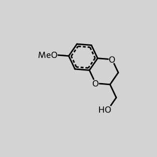 COc1ccc2c(c1)OC(CO)CO2